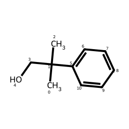 CC(C)(CO)c1cc[c]cc1